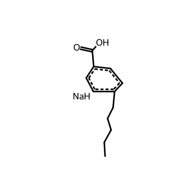 CCCCCc1ccc(C(=O)O)cc1.[NaH]